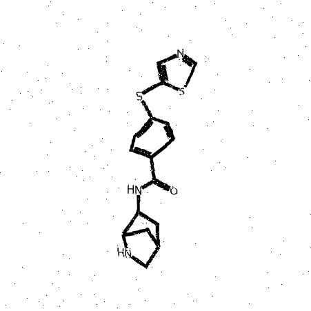 O=C(NC1CC2CNC1C2)c1ccc(Sc2cncs2)cc1